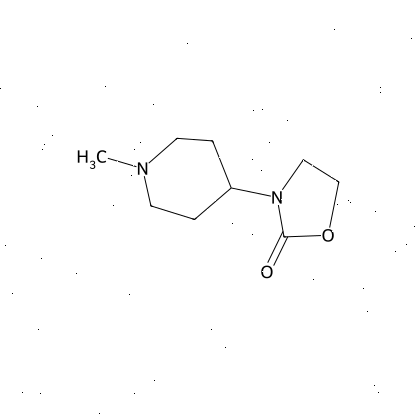 CN1CCC(N2CCOC2=O)CC1